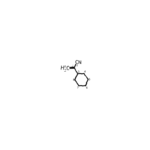 C=C(C#N)C1CCCCC1